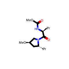 COC(=O)N[C@H](C(=O)N1C[C@H](OC)C[C@H]1C(C)C)C(C)C